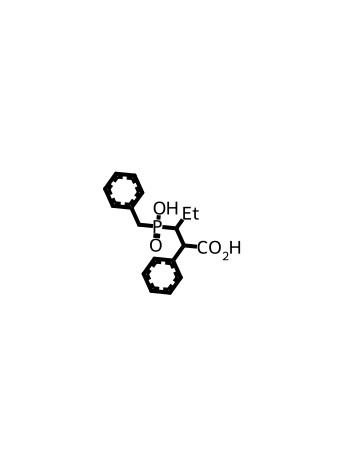 CCC(C(C(=O)O)c1ccccc1)P(=O)(O)Cc1ccccc1